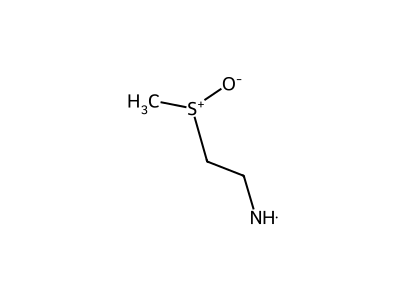 C[S+]([O-])CC[NH]